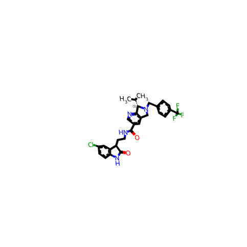 CC(C)[C@H]1c2ncc(C(=O)NCCC3C(=O)Nc4ccc(Cl)cc43)cc2CN1Cc1ccc(C(F)(F)F)cc1